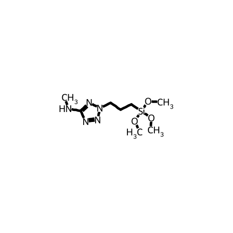 CNc1nnn(CCC[Si](OC)(OC)OC)n1